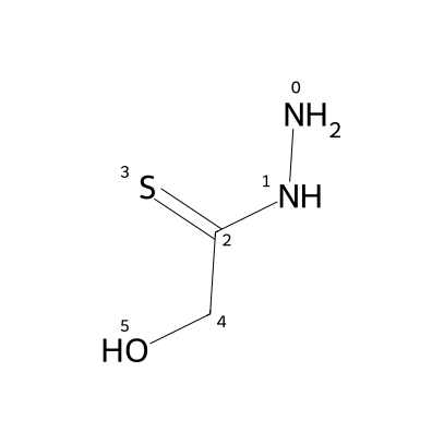 NNC(=S)CO